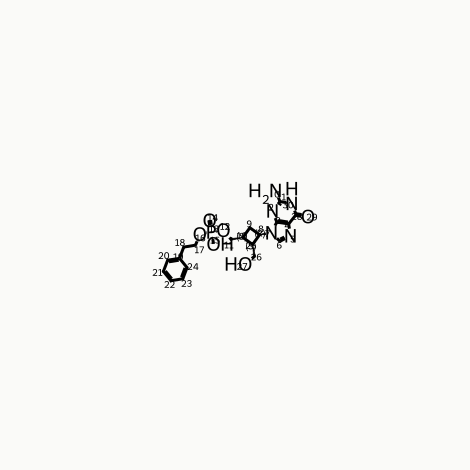 Nc1nc2c(ncn2[C@@H]2C[C@H](COP(=O)(O)OCCc3ccccc3)[C@@H]2CO)c(=O)[nH]1